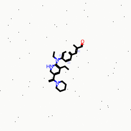 C=C(/C=C\C(=C/C)N(CC)C1=C(CC)C=C(C(=C)N2CCCCC2)CN1)/C=C(\C)C=O